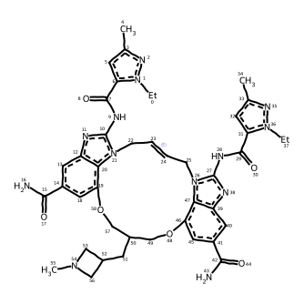 CCn1nc(C)cc1C(=O)Nc1nc2cc(C(N)=O)cc3c2n1C/C=C/Cn1c(NC(=O)c2cc(C)nn2CC)nc2cc(C(N)=O)cc(c21)OCC(CC1CN(C)C1)CO3